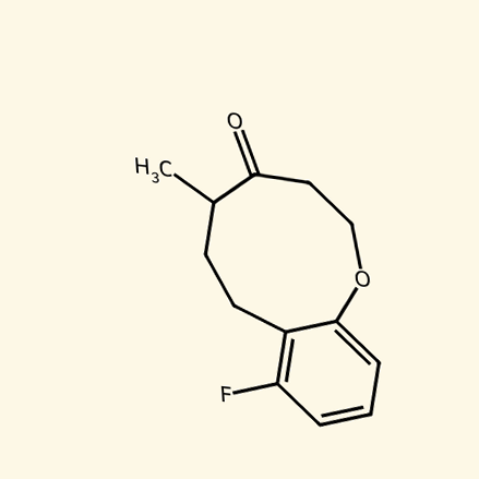 CC1CCc2c(F)cccc2OCCC1=O